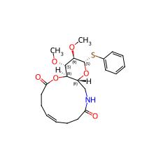 CO[C@@H]1[C@@H](OC)[C@H](Sc2ccccc2)O[C@@H]2CNC(=O)CCC=CCCC(=O)O[C@@H]12